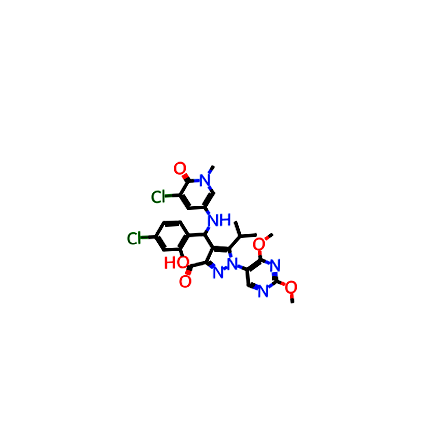 COc1ncc(-n2nc(C(=O)O)c(C(Nc3cc(Cl)c(=O)n(C)c3)c3ccc(Cl)cc3C)c2C(C)C)c(OC)n1